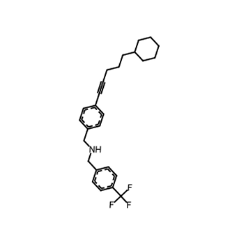 FC(F)(F)c1ccc(CNCc2ccc(C#CCCCC3CCCCC3)cc2)cc1